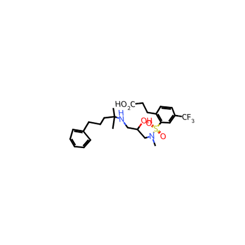 CN(CC(O)CNC(C)(C)CCCc1ccccc1)S(=O)(=O)c1cc(C(F)(F)F)ccc1CCC(=O)O